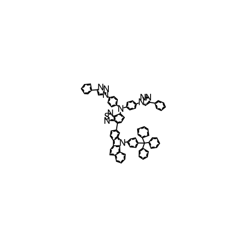 c1ccc(-c2cn(-c3ccc(N(c4ccc(-n5cc(-c6ccccc6)nn5)cc4)c4ccc(-c5ccc6c7ccc8ccccc8c7n(-c7ccc(C(c8ccccc8)(c8ccccc8)c8ccccc8)cc7)c6c5)c5nsnc45)cc3)nn2)cc1